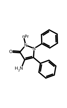 CCCn1c(=O)c(N)c(-c2ccccc2)n1-c1ccccc1